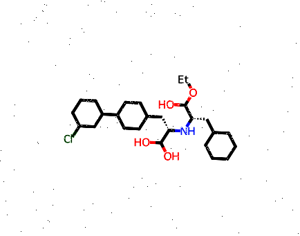 CCOC(O)[C@H](CC1CCCCC1)N[C@@H](CC1CCC(C2CCCC(Cl)C2)CC1)C(O)O